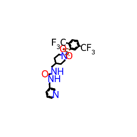 O=C(NCc1cccnc1)NCC1CCN(S(=O)(=O)c2cc(C(F)(F)F)ccc2C(F)(F)F)CC1